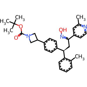 Cc1cc(C(C[C@H](c2ccc(C3CN(C(=O)OC(C)(C)C)C3)cc2)c2ccccc2C)=NO)ccn1